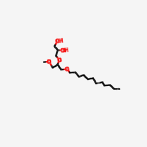 CCCCCCCCCCCCOCC(COC)OCC(O)CO